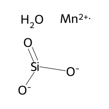 O.O=[Si]([O-])[O-].[Mn+2]